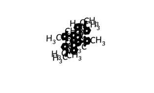 Cc1cc(C)c(-c2cc3c4c(cc5c(-c6c(C)cc(C)cc6C)cc6c7c(cc2c4c57)B2c4ccccc4N(C(C)(C)C)c4cccc-6c42)B2c4ccccc4N(C(C)(C)C)c4cccc-3c42)c(C)c1